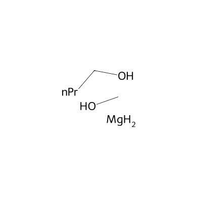 CCCCO.CO.[MgH2]